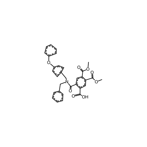 COC(=O)c1cc(C(=O)O)c(C(=O)N(Cc2ccccc2)Cc2ccc(Oc3ccccc3)cc2)cc1C(=O)OC